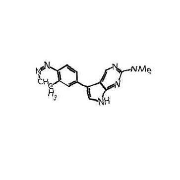 C/N=N\c1ccc(-c2c[nH]c3nc(NC)ncc23)cc1C